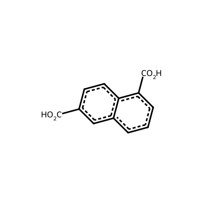 O=C(O)c1ccc2c(C(=O)O)cccc2c1